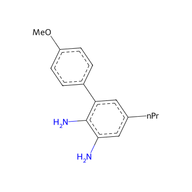 CCCc1cc(N)c(N)c(-c2ccc(OC)cc2)c1